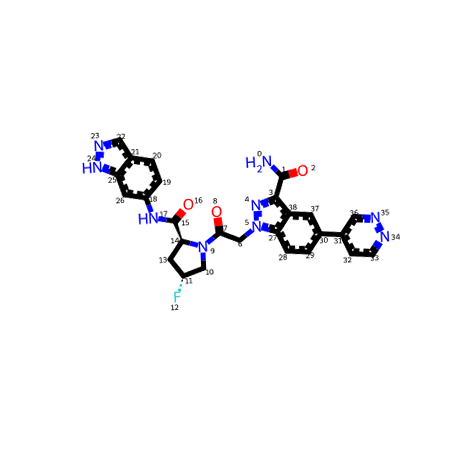 NC(=O)c1nn(CC(=O)N2C[C@H](F)C[C@H]2C(=O)Nc2ccc3cn[nH]c3c2)c2ccc(-c3ccnnc3)cc12